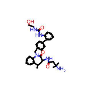 CC1CC(NC(=O)CC(C)(C)N)C(=O)N(Cc2ccc(-c3ccccc3NC(=O)NCCO)cc2)c2ccccc21